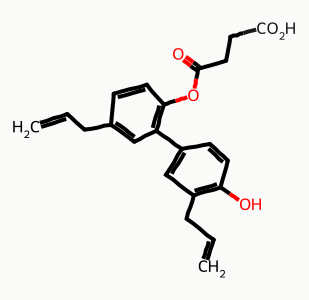 C=CCc1ccc(OC(=O)CCC(=O)O)c(-c2ccc(O)c(CC=C)c2)c1